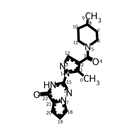 Cc1c(C(=O)N2CCC(C)CC2)cnn1-c1nn2cccc2c(=O)[nH]1